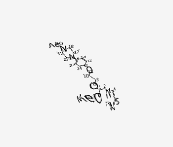 COC(Cn1ccnc1)OCCOc1ccc(N2CCN(C(C)=O)CC2)cc1